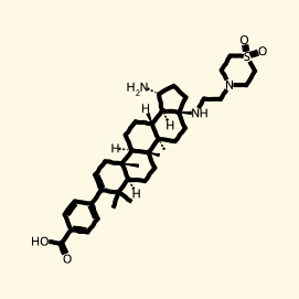 CC1(C)C(c2ccc(C(=O)O)cc2)=CC[C@]2(C)[C@H]3CC[C@@H]4[C@H]5[C@H](N)CC[C@]5(NCCN5CCS(=O)(=O)CC5)CC[C@@]4(C)[C@]3(C)CC[C@@H]12